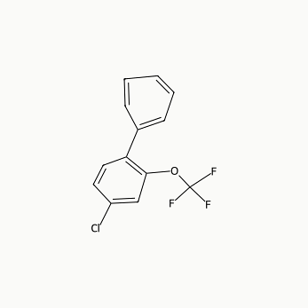 FC(F)(F)Oc1cc(Cl)ccc1-c1ccccc1